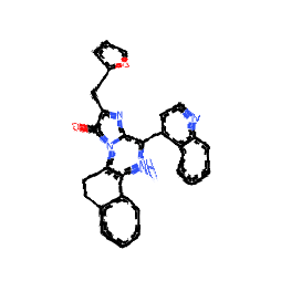 O=c1c(Cc2ccco2)nc2c(-c3ccnc4ccccc34)[nH]c3c(n1-2)CCc1ccccc1-3